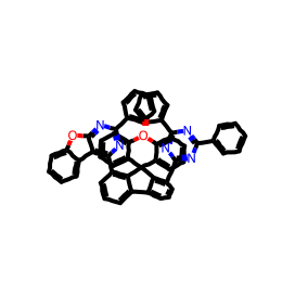 c1ccc(-c2nc(-c3ccccc3)nc(-c3cccc4c3C3(c5ccccc5Oc5ccccc53)c3c-4cccc3-c3nc(-c4ccccc4)nc4oc5ccccc5c34)n2)cc1